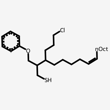 CCCCCCCC/C=C\CCCCC(CCCCl)C(CS)COc1[c]cccc1